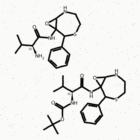 CC(C)[C@H](N)C(=O)NC12OC1NCCSC2c1ccccc1.CC(C)[C@H](NC(=O)OC(C)(C)C)C(=O)NC12OC1NCCSC2c1ccccc1